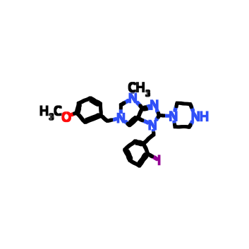 COc1cccc(CN2C=C3C(=NC(N4CCNCC4)N3Cc3ccccc3I)N(C)C2)c1